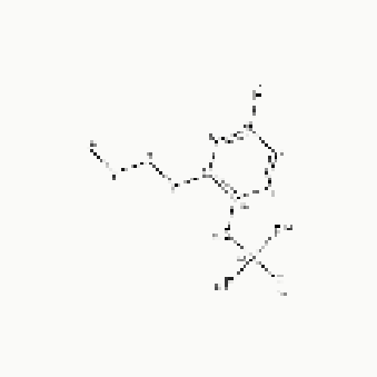 [CH2]CCCc1cc(F)ccc1SC(F)(F)F